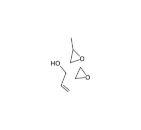 C1CO1.C=CCO.CC1CO1